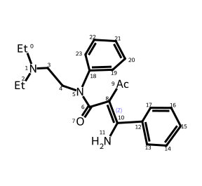 CCN(CC)CCN(C(=O)/C(C(C)=O)=C(\N)c1ccccc1)c1ccccc1